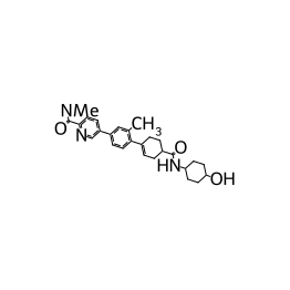 CNC(=O)c1ccc(-c2ccc(C3=CCC(C(=O)NC4CCC(O)CC4)CC3)c(C)c2)cn1